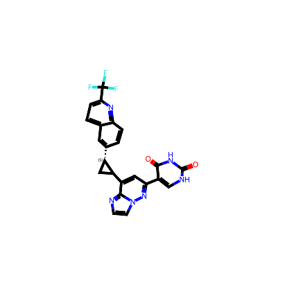 O=c1[nH]cc(-c2cc(C3C[C@@H]3c3ccc4nc(C(F)(F)F)ccc4c3)c3nccn3n2)c(=O)[nH]1